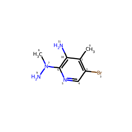 Cc1c(Br)cnc(N(C)N)c1N